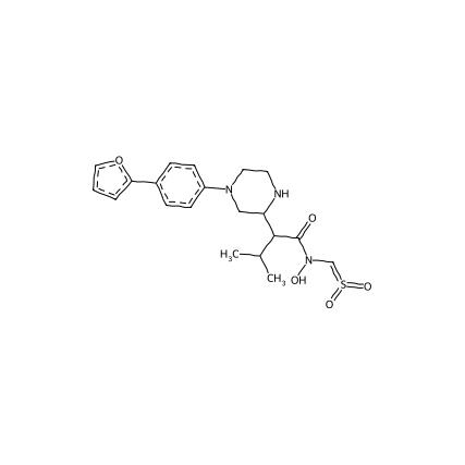 CC(C)C(C(=O)N(O)C=S(=O)=O)C1CN(c2ccc(-c3ccco3)cc2)CCN1